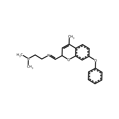 CC1=CC(C=NCCN(C)C)Oc2cc(Oc3ccccc3)ccc21